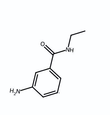 CCNC(=O)c1c[c]cc(N)c1